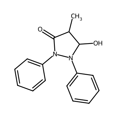 CC1C(=O)N(c2ccccc2)N(c2ccccc2)C1O